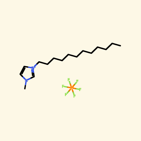 CCCCCCCCCCCC[n+]1ccn(C)c1.F[P-](F)(F)(F)(F)F